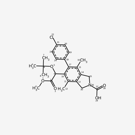 COC(=O)C(OC(C)(C)C)c1c(C)c2c(c(C)c1-c1ccc(Cl)cc1)CN(C(=O)O)C2